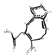 CC1=C(C(=O)O)C=c2ccsc2=CC1